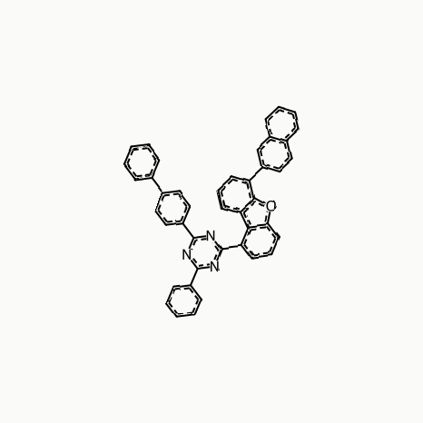 c1ccc(-c2ccc(-c3nc(-c4ccccc4)nc(-c4cccc5oc6c(-c7ccc8ccccc8c7)cccc6c45)n3)cc2)cc1